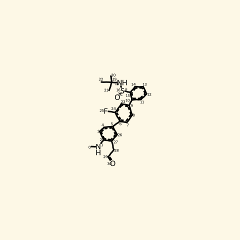 CNc1ccc(-c2ccc(-c3ccccc3[S+]([O-])NC(C)(C)C)cc2F)cc1CC=O